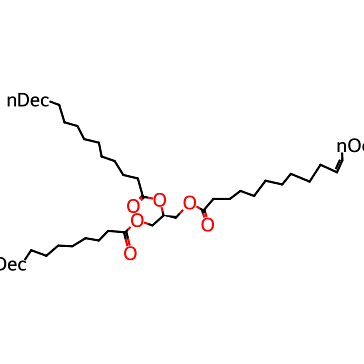 CCCCCCCC/C=C\CCCCCCCCCC(=O)OC[C@@H](COC(=O)CCCCCCCCCCCCCCCCC)OC(=O)CCCCCCCCCCCCCCCCCCC